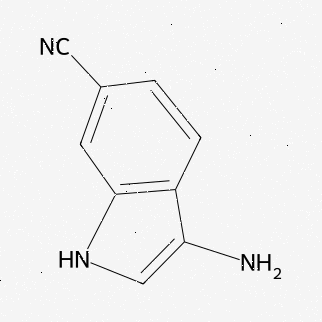 N#Cc1ccc2c(N)c[nH]c2c1